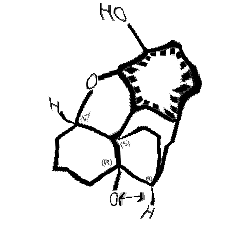 Oc1ccc2c3c1O[C@H]1CCC[C@@]4(O)[C@H](CCC[C@]314)C2